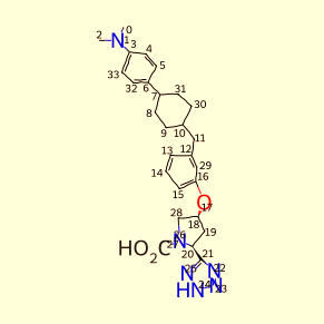 CN(C)c1ccc(C2CCC(Cc3cccc(O[C@H]4C[C@@H](c5nn[nH]n5)N(C(=O)O)C4)c3)CC2)cc1